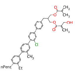 C=C(C)C(=O)OCC(COC(=O)C(=C)CO)Cc1ccc(-c2ccc(-c3ccc(-c4ccc(CCCCC)c(CC)c4)c(C)c3)c(Cl)c2)cc1